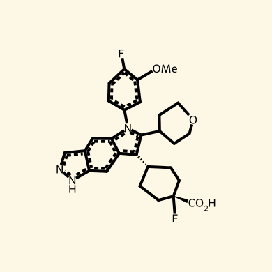 COc1cc(-n2c(C3CCOCC3)c([C@H]3CC[C@](F)(C(=O)O)CC3)c3cc4[nH]ncc4cc32)ccc1F